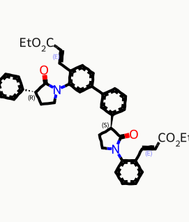 CCOC(=O)/C=C/c1ccccc1N1CC[C@@H](c2cccc(-c3ccc(/C=C/C(=O)OCC)c(N4CC[C@H](c5ccccc5)C4=O)c3)c2)C1=O